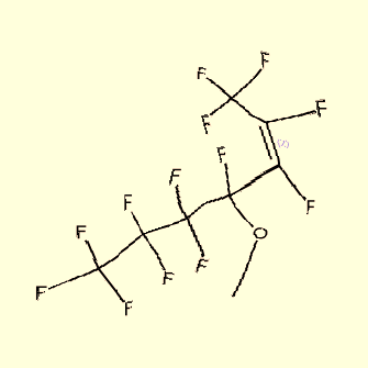 COC(F)(/C(F)=C(/F)C(F)(F)F)C(F)(F)C(F)(F)C(F)(F)F